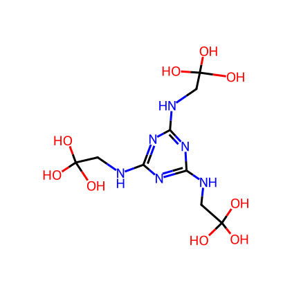 OC(O)(O)CNc1nc(NCC(O)(O)O)nc(NCC(O)(O)O)n1